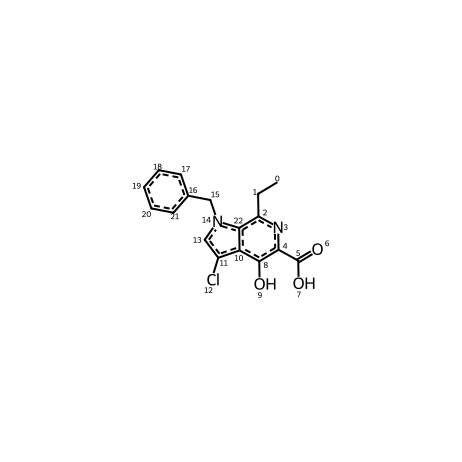 CCc1nc(C(=O)O)c(O)c2c(Cl)cn(Cc3ccccc3)c12